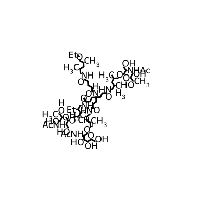 CCOCC(C)CC(C)CNC(=O)CCCC(=O)NC(CCC(=O)NCC(C)CC(C)COC1OC(CO)C(O)C(O)C1NC(C)=O)(CCC(=O)NCC(C)CC(C)COC(OC(CO)[C@@H](C)O)[C@H](CO)NC(C)=O)CCC(=O)NCC(CC)CC(C)COC(OC(CO)[C@@H](C)O)[C@H](CO)NC(C)=O